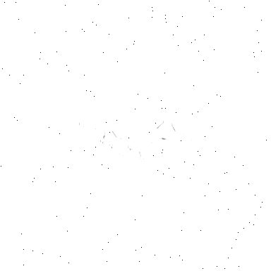 CCOC(=O)c1cc2n(n1)CCN(C(=O)OCc1cc(C(F)(F)F)cc(C(F)(F)F)c1)C2